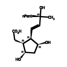 CCCCC[C@](C)(O)C=C[C@@H]1[C@@H](CC(=O)O)[C@@H](O)C[C@H]1O